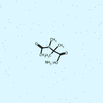 CC(=O)N(C)C(C)(C)C(=O)O.N